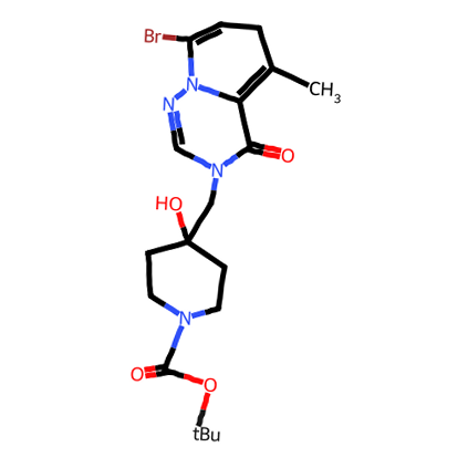 CC1=C2C(=O)N(CC3(O)CCN(C(=O)OC(C)(C)C)CC3)C=NN2C(Br)=CC1